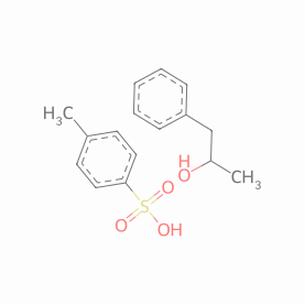 CC(O)Cc1ccccc1.Cc1ccc(S(=O)(=O)O)cc1